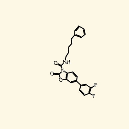 O=C(NCCCCCc1ccccc1)n1c(=O)oc2cc(-c3ccc(F)c(F)c3)ccc21